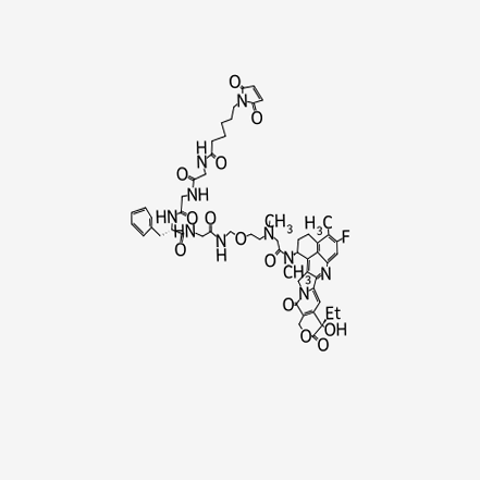 CC[C@@]1(O)C(=O)OCc2c1cc1n(c2=O)Cc2c-1nc1cc(F)c(C)c3c1c2[C@@H](N(C)C(=O)CN(C)CCOCNC(=O)CNC(=O)[C@H](Cc1ccccc1)NC(=O)CNC(=O)CNC(=O)CCCCCN1C(=O)C=CC1=O)CC3